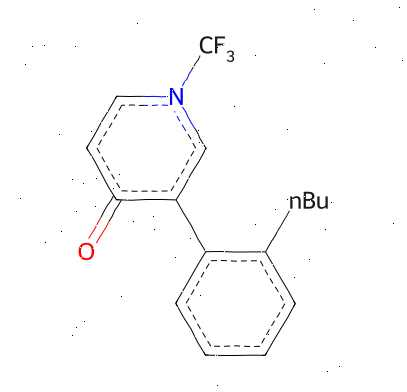 CCCCc1ccccc1-c1cn(C(F)(F)F)ccc1=O